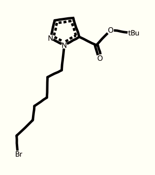 CC(C)(C)OC(=O)c1ccnn1CCCCCCBr